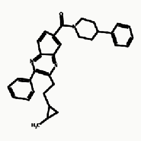 CC1CC1CCc1nc2cc(C(=O)N3CCC(c4ccccc4)CC3)ccc2nc1-c1ccccc1